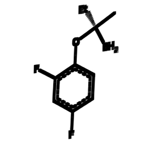 B[C@@](C)(CC)Oc1ccc(F)cc1F